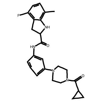 Cc1ccc(F)c2c1NC(C(=O)Nc1cccc(N3CCN(C(=O)C4CC4)CC3)c1)C2